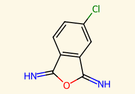 N=C1OC(=N)c2cc(Cl)ccc21